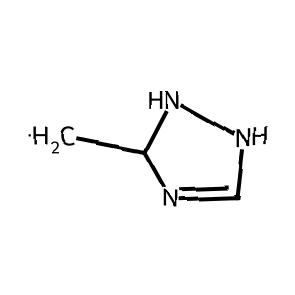 [CH2]C1N=CNN1